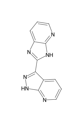 c1cnc2[nH]c(-c3n[nH]c4ncccc34)nc2c1